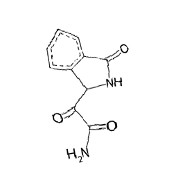 NC(=O)C(=O)C1NC(=O)c2ccccc21